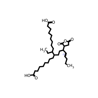 CCC/C=C/C(CCC(CCCCCCCCC(=O)O)C(CC)CCCCCCCCC(=O)O)C1CC(=O)OC1=O